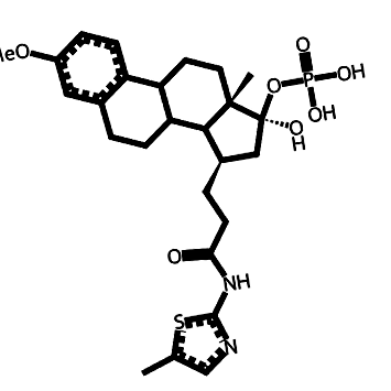 COc1ccc2c(c1)CCC1C2CC[C@@]2(C)C1[C@H](CCC(=O)Nc1ncc(C)s1)C[C@]2(O)OP(=O)(O)O